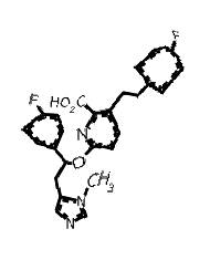 Cn1cncc1CC(Oc1ccc(CCc2ccc(F)cc2)c(C(=O)O)n1)c1ccc(F)cc1